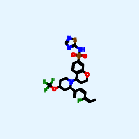 C=C(/C=C\C(F)=C/C)[C@H]1C[C@@H](OC(F)(F)F)CCN1[C@@H]1CCOc2cc(S(=O)(=O)Nc3ncns3)ccc21